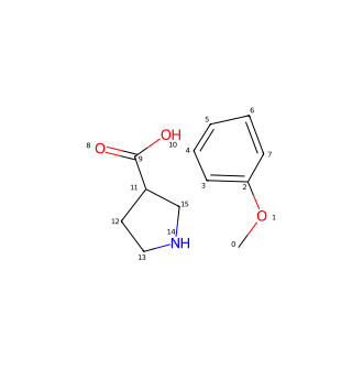 COc1ccccc1.O=C(O)C1CCNC1